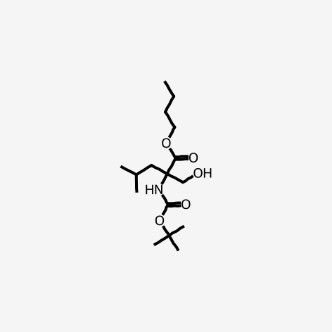 CCCCOC(=O)C(CO)(CC(C)C)NC(=O)OC(C)(C)C